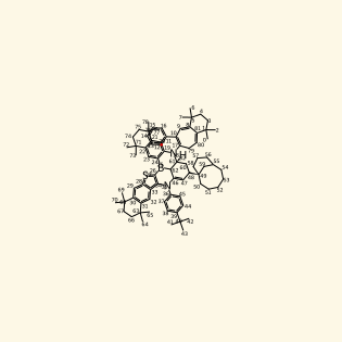 CC1(C)CCC(C)(C)C2=CC(c3ccccc3)=C(N3c4cc5c(cc4B4c6sc7cc8c(cc7c6N(c6ccc(C(C)(C)C)cc6)C6=CC([C@@]79CCCCCC(CCC7)C9)C[C@@H]3C46)C(C)(C)CCC8(C)C)C(C)(C)CCC5(C)C)CC=C21